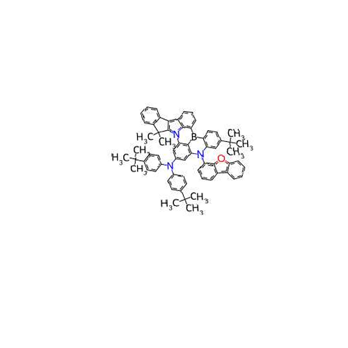 CC(C)(C)c1ccc(N(c2ccc(C(C)(C)C)cc2)c2cc3c4c(c2)-n2c5c(c6cccc(c62)B4c2ccc(C(C)(C)C)cc2N3c2cccc3c2oc2ccccc23)-c2ccccc2C5(C)C)cc1